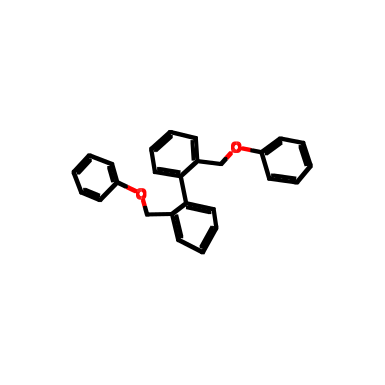 c1ccc(OCc2ccccc2-c2ccccc2COc2ccccc2)cc1